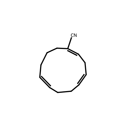 N#CC1=CCC=CCCC=CCCC1